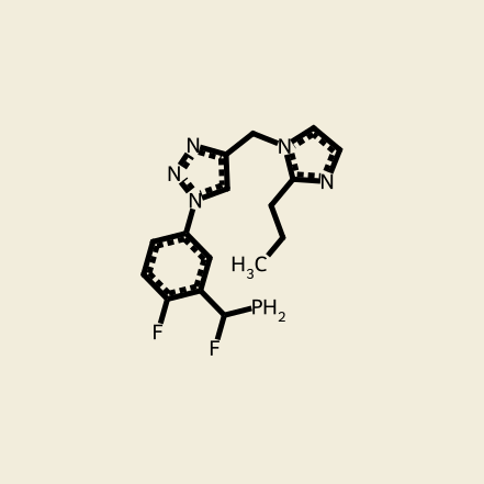 CCCc1nccn1Cc1cn(-c2ccc(F)c(C(F)P)c2)nn1